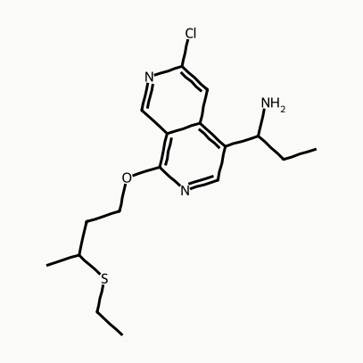 CCSC(C)CCOc1ncc(C(N)CC)c2cc(Cl)ncc12